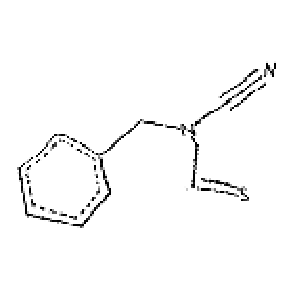 N#CN([C]=S)Cc1ccccc1